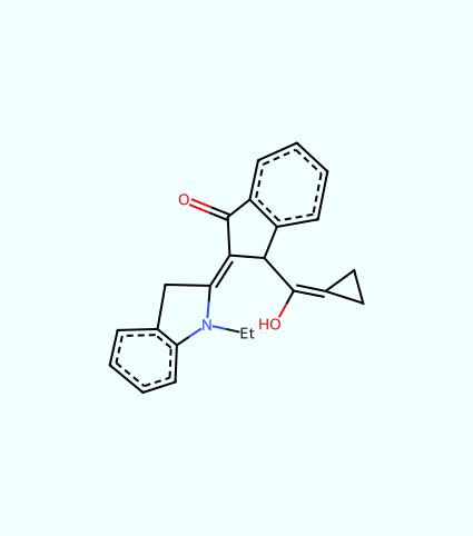 CCN1/C(=C2/C(=O)c3ccccc3C2C(O)=C2CC2)Cc2ccccc21